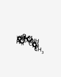 Cc1ccc(Nc2ncc(C(=O)N3CCC[C@H]4CCC[C@H]43)cc2Cl)cn1